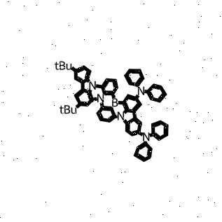 CC(C)(C)c1ccc2c(c1)c1cc(C(C)(C)C)cc3c1n2-c1cccc2c1N3c1cccc3c1B2c1cc(N(c2ccccc2)c2ccccc2)cc2c4cc(N(c5ccccc5)c5ccccc5)ccc4n-3c12